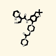 CC1(C)Cc2cc(NC(=O)/C(C=N)=C3\N=CC=CN3)c(N3CCN(CC(=O)N4CCOCC4)CC3)cc2O1